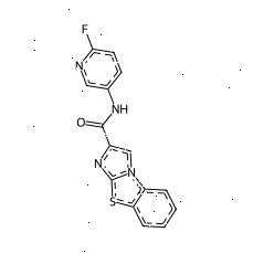 O=C(Nc1ccc(F)nc1)c1cn2c(n1)sc1ccccc12